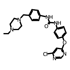 CCN1CCN(Cc2ccc(NC(=O)Nc3ccc(Oc4cc(Cl)ncn4)cc3)cc2)CC1